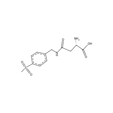 CS(=O)(=O)c1ccc(CNC(=O)C[C@H](N)C(=O)O)cc1